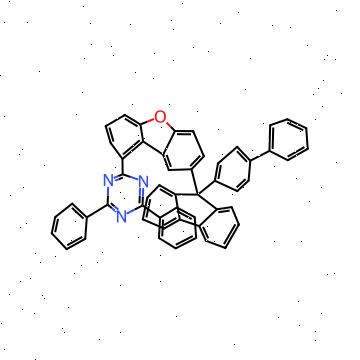 c1ccc(-c2ccc(C3(c4ccc5oc6cccc(-c7nc(-c8ccccc8)nc(-c8ccccc8)n7)c6c5c4)c4ccccc4-c4ccccc43)cc2)cc1